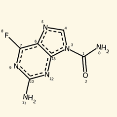 NC(=O)n1cnc2c(F)nc(N)nc21